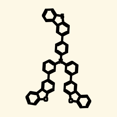 c1cc(-c2ccc3oc4ccccc4c3c2)cc(N(c2ccc(-c3ccc4sc5ccccc5c4c3)cc2)c2cccc(-c3ccc4oc5ccccc5c4c3)c2)c1